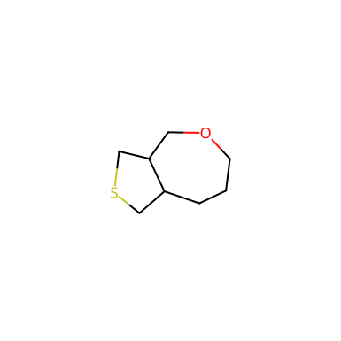 C1COCC2CSCC2C1